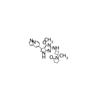 COc1nc(N[C@H]2C[C@](C)(N3CCCC3=O)C2)nc2[nH]cc(-c3ccn4nccc4c3)c12